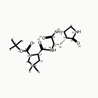 CC(C)(C)OC(=O)N1C[Si](C)(C)C[C@@H]1C(=O)N[C@@H](C[C@@H]1CCNC1=O)C(N)=O